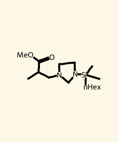 CCCCCC[Si](C)(C)N1CCN(CC(C)C(=O)OC)C1